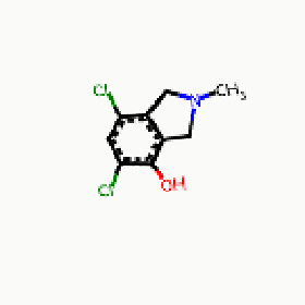 CN1Cc2c(Cl)cc(Cl)c(O)c2C1